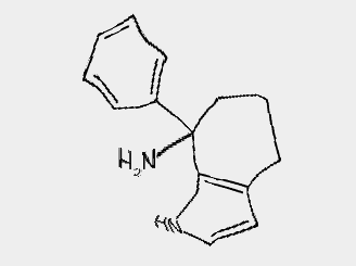 NC1(c2ccccc2)CCCc2cc[nH]c21